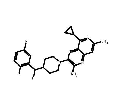 Cc1cc2nc(N)c(N3CCC(C(F)c4cc(F)ccc4F)CC3)nc2c(C2CC2)n1